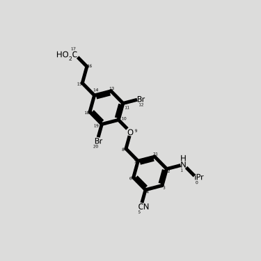 CC(C)Nc1cc(C#N)cc(COc2c(Br)cc(CCC(=O)O)cc2Br)c1